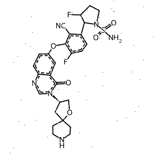 N#Cc1c(C2C(F)CCN2S(N)(=O)=O)ccc(F)c1Oc1ccc2ncn([C@H]3COC4(CCNCC4)C3)c(=O)c2c1